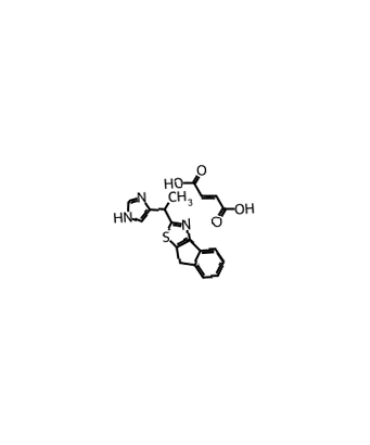 CC(c1c[nH]cn1)c1nc2c(s1)Cc1ccccc1-2.O=C(O)C=CC(=O)O